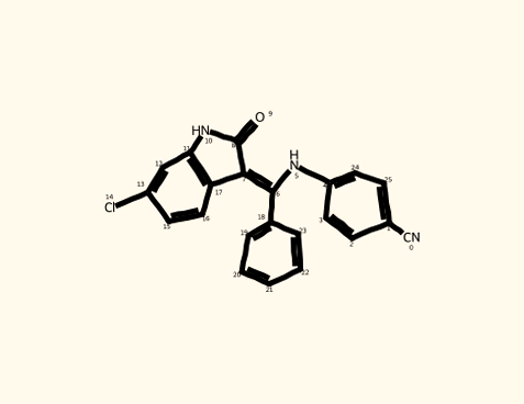 N#Cc1ccc(N/C(=C2\C(=O)Nc3cc(Cl)ccc32)c2ccccc2)cc1